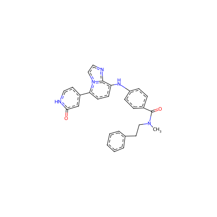 CN(CCc1ccccc1)C(=O)c1ccc(Nc2ccc(-c3cc[nH]c(=O)c3)n3ccnc23)cc1